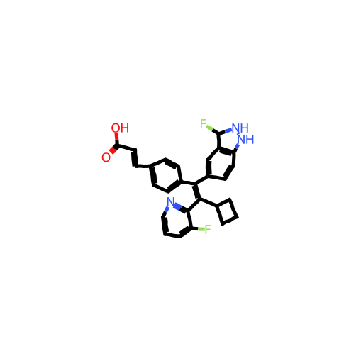 O=C(O)/C=C/c1ccc(/C(=C(\c2ncccc2F)C2CCC2)c2ccc3c(c2)C(F)NN3)cc1